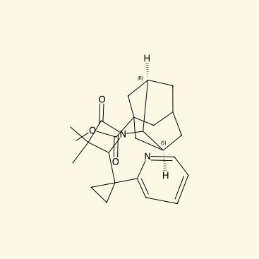 COC(=O)C12CC3C[C@H](C1)C(N1C(=O)C(C)(C)C1C1(c4ccccn4)CC1)[C@@H](C3)C2